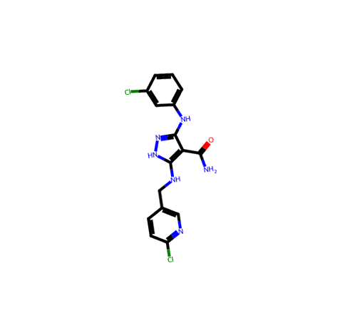 NC(=O)c1c(Nc2cccc(Cl)c2)n[nH]c1NCc1ccc(Cl)nc1